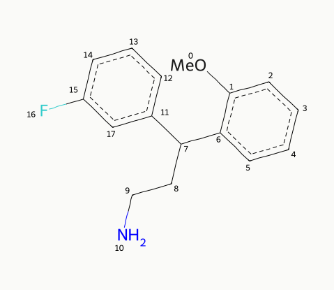 COc1ccccc1C(CCN)c1cccc(F)c1